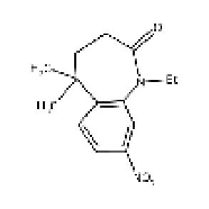 CCN1C(=O)CCC(C)(C)c2ccc([N+](=O)[O-])cc21